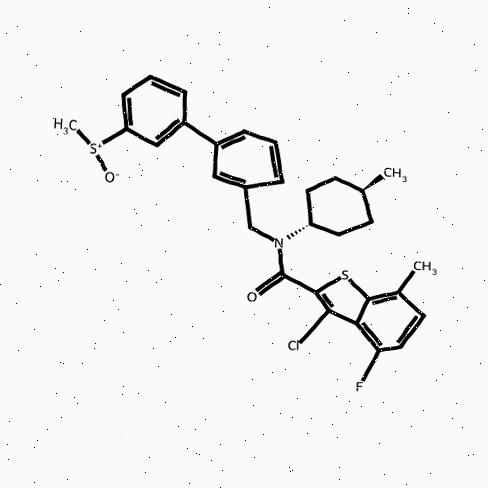 Cc1ccc(F)c2c(Cl)c(C(=O)N(Cc3cccc(-c4cccc([S+](C)[O-])c4)c3)[C@H]3CC[C@H](C)CC3)sc12